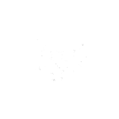 Nc1nc2c(-c3ccc(SC4CCC4)c(S(N)(=O)=O)c3-c3nn[nH]n3)cccc2s1